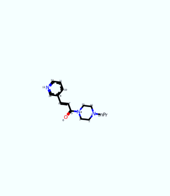 CCCN1CCN(C(=O)/C=C/c2cccnc2)CC1